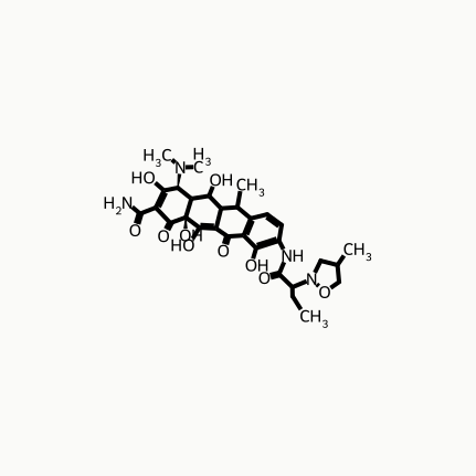 CCC(C(=O)Nc1ccc2c(c1O)C(=O)C1=C(O)[C@]3(O)C(=O)C(C(N)=O)=C(O)[C@@H](N(C)C)C3C(O)C1C2C)N1CC(C)CO1